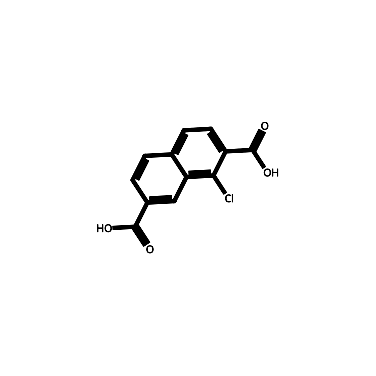 O=C(O)c1ccc2ccc(C(=O)O)c(Cl)c2c1